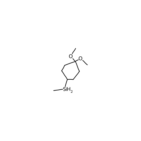 COC1(OC)CCC([SiH2]C)CC1